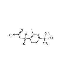 CC(C)(O)c1ccc(S(=O)(=O)CC(N)=O)c(F)c1